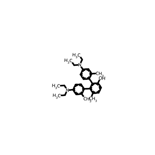 CCN(CC)c1ccc(-c2c(C)ccc(O)c2-c2ccc(N(CC)CC)cc2C)c(C)c1